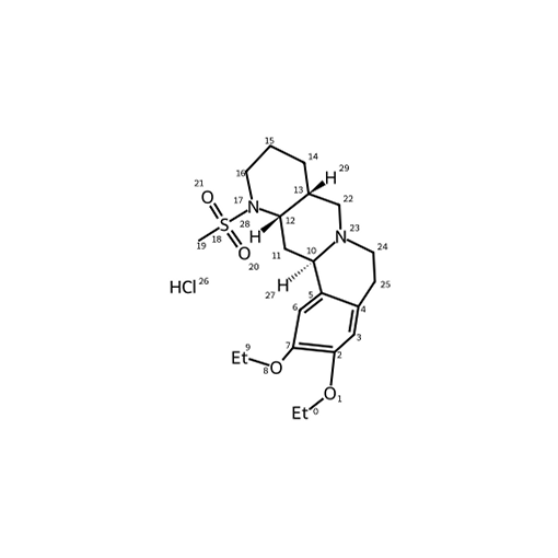 CCOc1cc2c(cc1OCC)[C@H]1C[C@H]3[C@H](CCCN3S(C)(=O)=O)CN1CC2.Cl